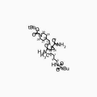 CC[C@H](C)S(=O)(=O)NCCCC(C)[C@@]1(C(N)=O)C[C@]1(CCC1CCN(C(=O)OC(C)(C)C)CC1)C(N)=O